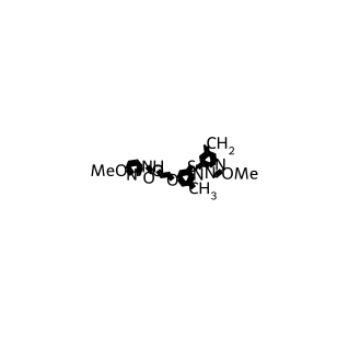 C=Cc1cc(-c2nc3c(C)cc(OCCOC(=O)Nc4ccc(OC)nc4)cc3s2)c2ncc(OC)nc2c1